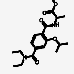 CCN(CC)C(=O)c1ccc(C(=O)NC(C)C(=O)OC)c(OC(C)C)c1